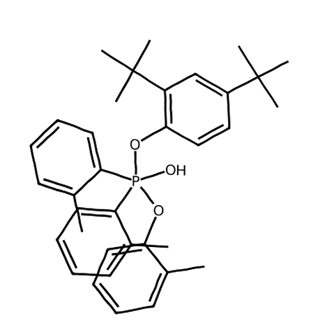 Cc1ccccc1OP(O)(Oc1ccc(C(C)(C)C)cc1C(C)(C)C)(c1ccccc1C)c1ccccc1C